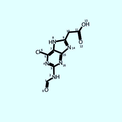 O=CNc1nc(Cl)c2[nH]c(CC(=O)O)nc2n1